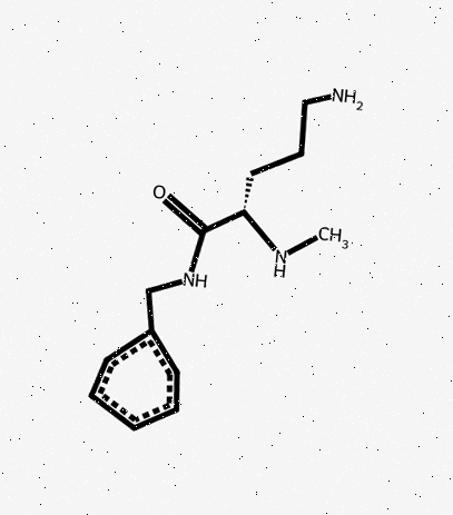 CN[C@@H](CCCN)C(=O)NCc1ccccc1